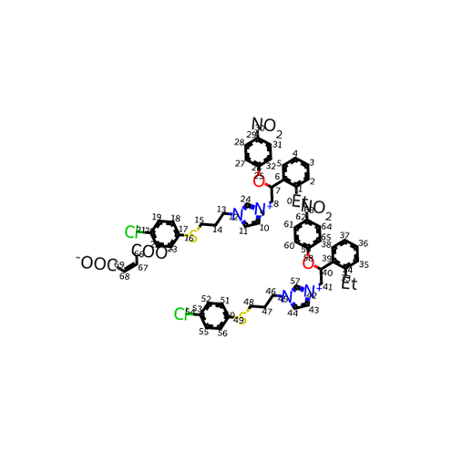 CCc1ccccc1C(C[n+]1ccn(CCCSc2ccc(Cl)cc2)c1)Oc1ccc([N+](=O)[O-])cc1.CCc1ccccc1C(C[n+]1ccn(CCCSc2ccc(Cl)cc2)c1)Oc1ccc([N+](=O)[O-])cc1.O=C([O-])/C=C\C(=O)[O-]